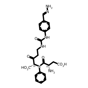 NN=Cc1ccc(NC(=O)NCCC(=O)[C@@H](C(=O)O)N(C(=O)[C@@H](N)CC(=O)O)c2ccccc2)cc1